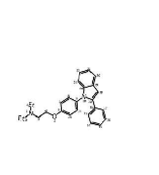 CCN(CC)CCOc1ccc(-n2c(-c3ccccc3)cc3ccccc32)cc1